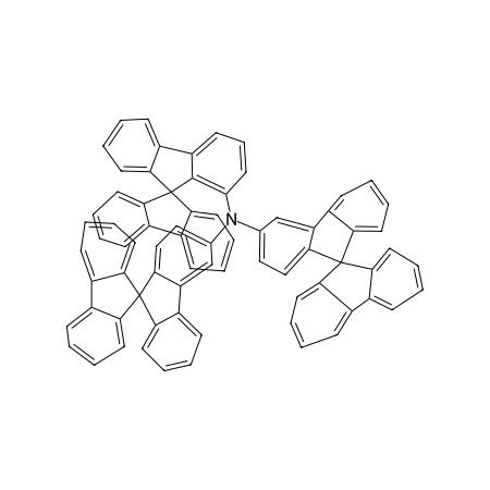 c1ccc2c(c1)-c1ccccc1C21c2ccccc2-c2cc(N(c3ccc4c(c3)-c3ccccc3C43c4ccccc4-c4ccccc43)c3cccc4c3C3(c5ccccc5-c5ccccc53)c3ccccc3-4)ccc21